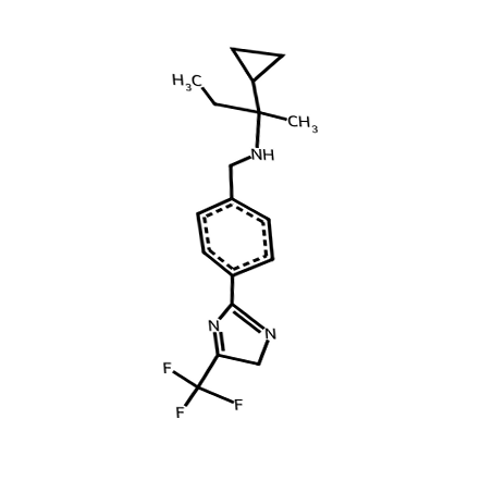 CCC(C)(NCc1ccc(C2=NCC(C(F)(F)F)=N2)cc1)C1CC1